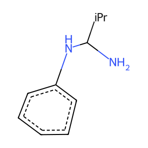 CC(C)C(N)Nc1ccccc1